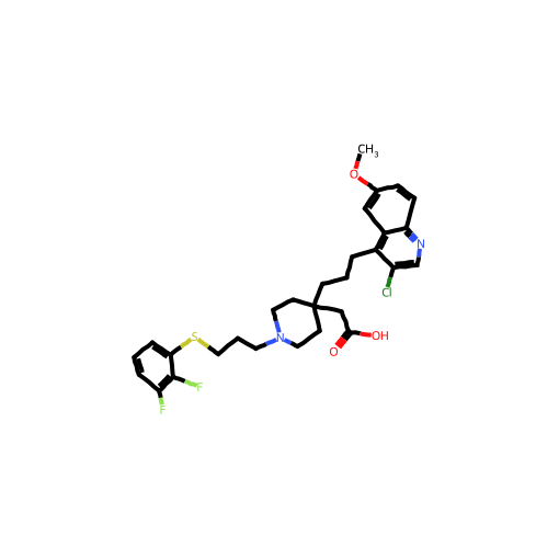 COc1ccc2ncc(Cl)c(CCCC3(CC(=O)O)CCN(CCCSc4cccc(F)c4F)CC3)c2c1